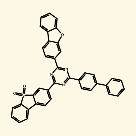 O=S1(=O)c2ccccc2-c2ccc(-c3nc(-c4ccc(-c5ccccc5)cc4)nc(-c4ccc5c(c4)oc4ccccc45)n3)cc21